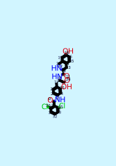 O=C(Nc1ccc(C[C@H](NC(=O)[C@@H]2Cc3ccc(O)cc3CN2)C(=O)O)cc1)c1c(Cl)cccc1Cl